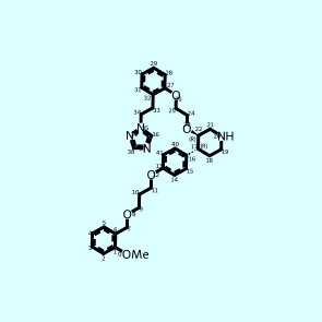 COc1ccccc1COCCCOc1ccc([C@H]2CCNC[C@@H]2OCCOc2ccccc2CCn2cncn2)cc1